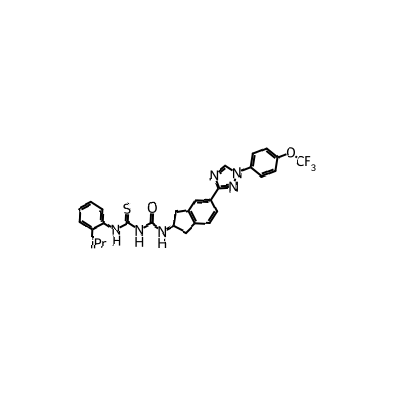 CC(C)c1ccccc1NC(=S)NC(=O)NC1Cc2ccc(-c3ncn(-c4ccc(OC(F)(F)F)cc4)n3)cc2C1